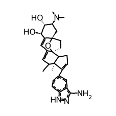 CC1C=C2C=C3[C@@H](O)[C@H](O)[C@@H](N(C)C)C[C@]34CC[C@]2(O4)C2CC=C(c3ccc4[nH]nc(N)c4c3)[C@@]12C